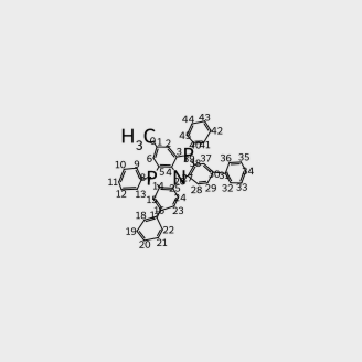 Cc1cc2c3c(c1)P(c1ccccc1)c1cc(-c4ccccc4)ccc1N3c1ccc(-c3ccccc3)cc1P2c1ccccc1